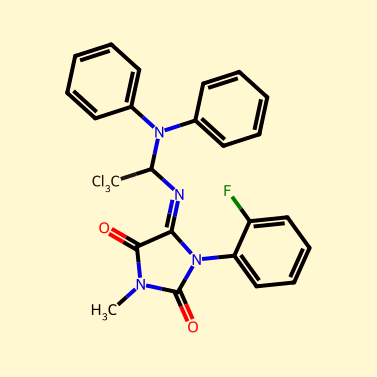 CN1C(=O)/C(=N\C(N(c2ccccc2)c2ccccc2)C(Cl)(Cl)Cl)N(c2ccccc2F)C1=O